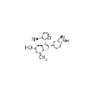 Cc1cc(O)cc2c1CC(c1ccc3[nH]ncc3c1)=C2c1occc1C#N